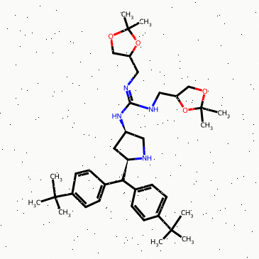 CC1(C)OCC(C/N=C(\NCC2COC(C)(C)O2)N[C@H]2CN[C@@H](C(c3ccc(C(C)(C)C)cc3)c3ccc(C(C)(C)C)cc3)C2)O1